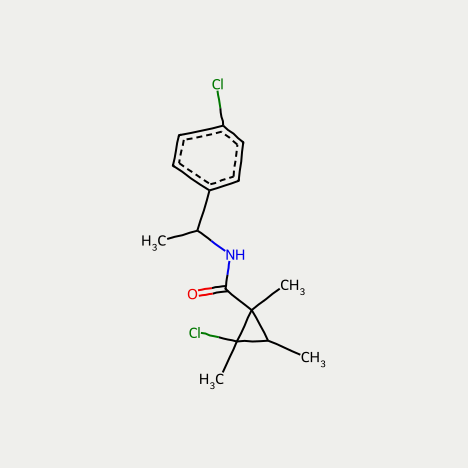 CC(NC(=O)C1(C)C(C)C1(C)Cl)c1ccc(Cl)cc1